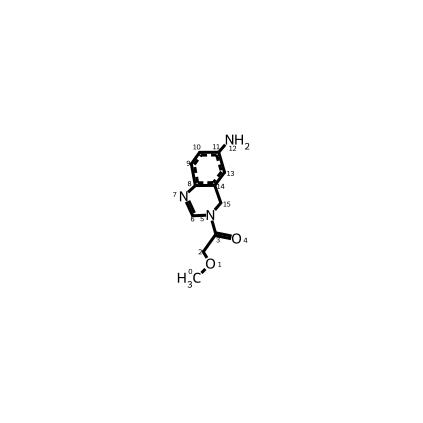 COCC(=O)N1C=Nc2ccc(N)cc2C1